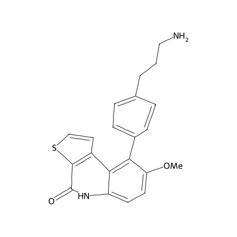 COc1ccc2[nH]c(=O)c3sccc3c2c1-c1ccc(CCCN)cc1